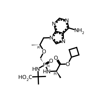 C[C@H](Cn1cnc2c(N)ncnc21)OC[P@](=O)(N[C@H](C)C(=O)OC1CCC1)NC(C)(C)C(=O)O